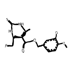 COc1ccc(COC(=O)C2=C(C)NC(=S)NC2CF)cc1Cl